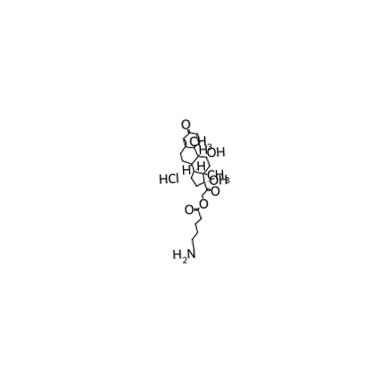 C[C@]12C=CC(=O)C=C1CC[C@@H]1[C@@H]2[C@@H](O)C[C@@]2(C)[C@H]1CC[C@]2(O)C(=O)COC(=O)CCCCCN.Cl